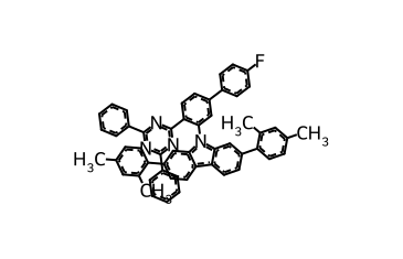 Cc1ccc(-c2ccc3c4ccc(-c5ccc(C)cc5C)cc4n(-c4cc(-c5ccc(F)cc5)ccc4-c4nc(-c5ccccc5)nc(-c5ccccc5)n4)c3c2)c(C)c1